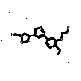 COc1ccc(-c2cncc([C@@H]3COB(O)C3)c2)cc1OCCF